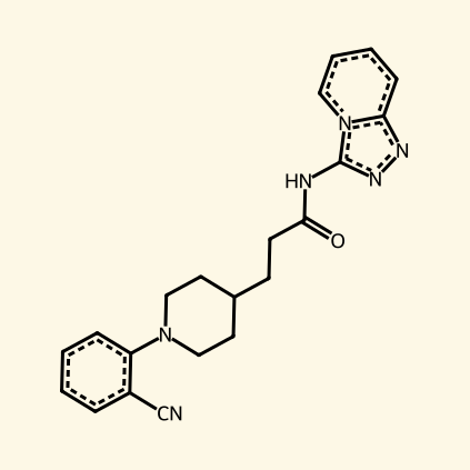 N#Cc1ccccc1N1CCC(CCC(=O)Nc2nnc3ccccn23)CC1